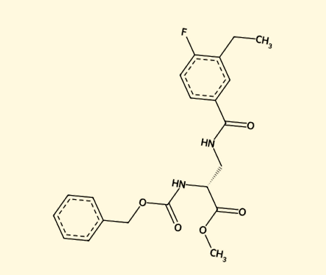 CCc1cc(C(=O)NC[C@@H](NC(=O)OCc2ccccc2)C(=O)OC)ccc1F